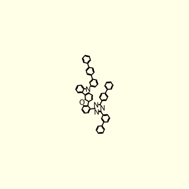 C1=CC2c3c(cccc3-c3nc(-c4ccc(-c5ccccc5)cc4)nc(-c4cccc(-c5ccccc5)c4)n3)OC2c2c1n(-c1cccc(-c3ccc(-c4ccccc4)cc3)c1)c1ccccc21